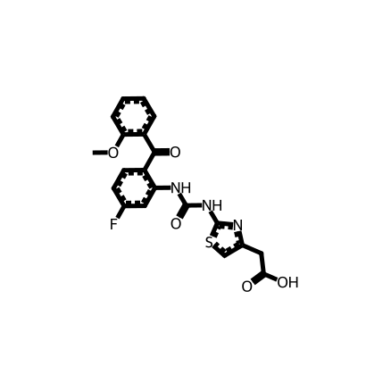 COc1ccccc1C(=O)c1ccc(F)cc1NC(=O)Nc1nc(CC(=O)O)cs1